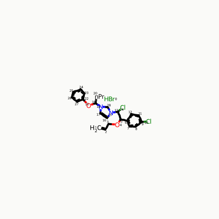 Br.C=CCOC(c1ccc(Cl)cc1)C(Cl)N1C=CN(C(CCC)Oc2ccccc2)C1